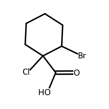 O=C(O)C1(Cl)CCCCC1Br